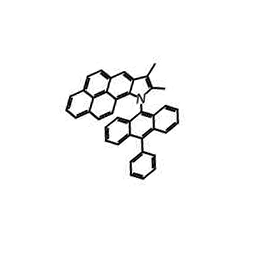 Cc1c(C)n(-c2c3ccccc3c(-c3ccccc3)c3ccccc23)c2c1cc1ccc3cccc4ccc2c1c34